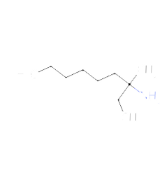 [CH2]C(N)(CC)CCCCCC